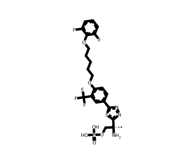 C[C@](N)(COP(=O)(O)O)c1nnc(-c2ccc(OCCCCCOc3c(F)cccc3F)c(C(F)(F)F)c2)s1